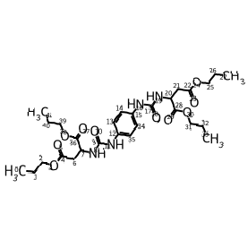 CCCOC(=O)CC(NC(=O)Nc1ccc(NC(=O)NC(CC(=O)OCCC)C(=O)OCCC)cc1)C(=O)OCCC